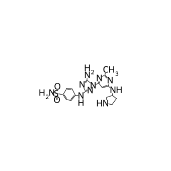 Cc1nc(NC2CCNC2)cc(-n2nc(Nc3ccc(S(N)(=O)=O)cc3)nc2N)n1